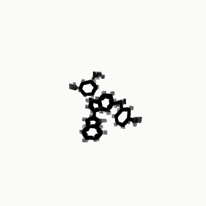 N[C@@H]1CCC[C@H](O)C1.O[C@H]1CCC[C@@H](Nc2ccc3ncc(-c4cc5ccccc5s4)n3n2)C1